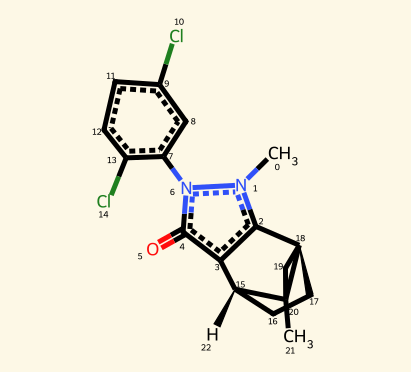 Cn1c2c(c(=O)n1-c1cc(Cl)ccc1Cl)[C@H]1CC[C@@]23CC13C